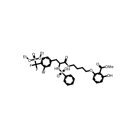 CCOP(=O)(OCC)C(F)(F)c1ccc(CC(NS(=O)(=O)c2ccccc2)C(=O)NCCCCOc2cccc(O)c2C(=O)OC)cc1Br